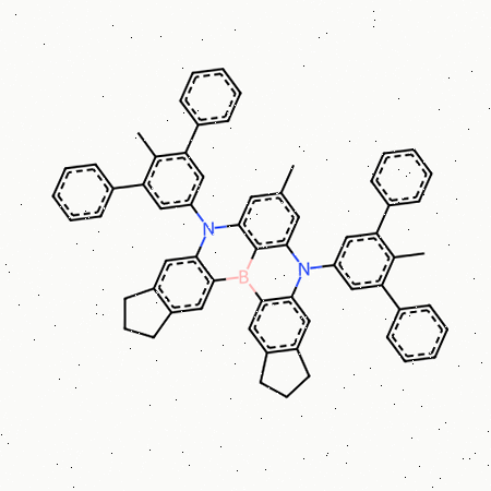 Cc1cc2c3c(c1)N(c1cc(-c4ccccc4)c(C)c(-c4ccccc4)c1)c1cc4c(cc1B3c1cc3c(cc1N2c1cc(-c2ccccc2)c(C)c(-c2ccccc2)c1)CCC3)CCC4